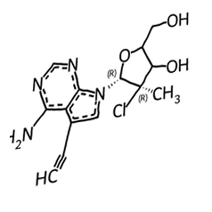 C#Cc1cn([C@@H]2OC(CO)C(O)[C@@]2(C)Cl)c2ncnc(N)c12